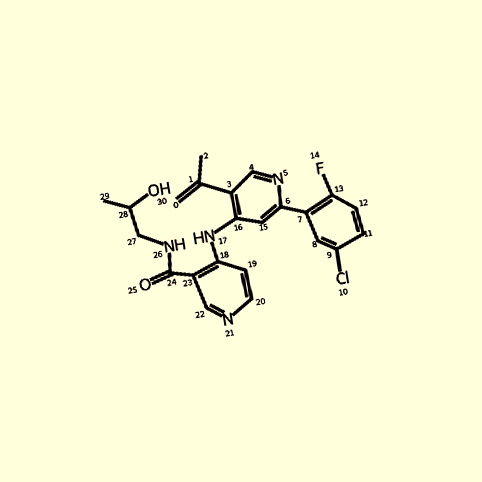 C=C(C)c1cnc(-c2cc(Cl)ccc2F)cc1Nc1ccncc1C(=O)NCC(C)O